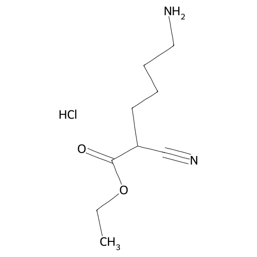 CCOC(=O)C(C#N)CCCCN.Cl